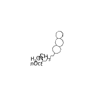 CCCCCCCCC(CCCCCC1CCCC2CCCC3CCCCCCC3CCC2CCC1)N(C)C